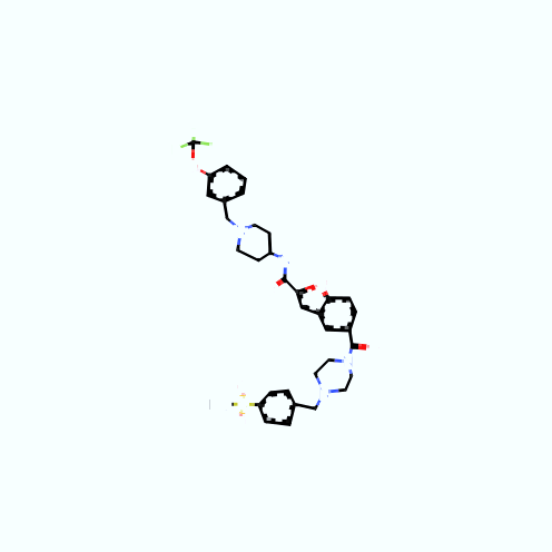 CS(=O)(=O)c1ccc(CN2CCN(C(=O)c3ccc4oc(C(=O)NC5CCN(Cc6cccc(OC(F)(F)F)c6)CC5)cc4c3)CC2)cc1